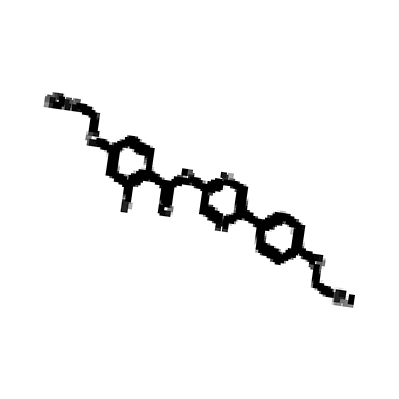 CCCCCCCCCCCOc1ccc(C(=O)Oc2cnc(-c3ccc(OCC(C)CC)cc3)cn2)c(F)c1